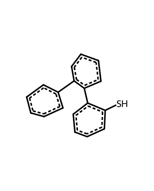 Sc1ccccc1-c1ccccc1-c1ccccc1